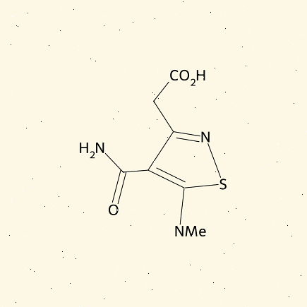 CNc1snc(CC(=O)O)c1C(N)=O